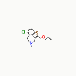 C=CCOCc1sc2ccc(Cl)c3c2c1CN(C)CC3